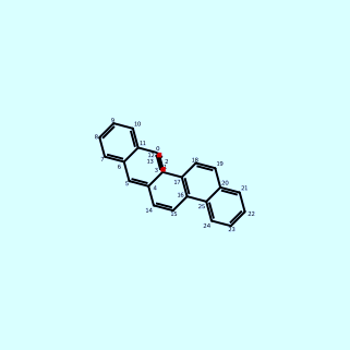 C1=CCC23C(=Cc4ccccc4C2=C1)C=Cc1c3ccc2ccccc12